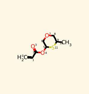 C=CC(=O)OC1COCC(C)S1